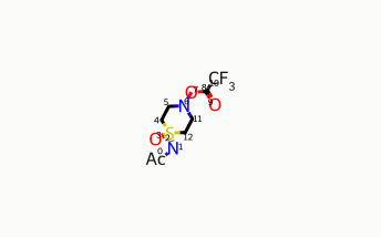 CC(=O)N=S1(=O)CCN(OC(=O)C(F)(F)F)CC1